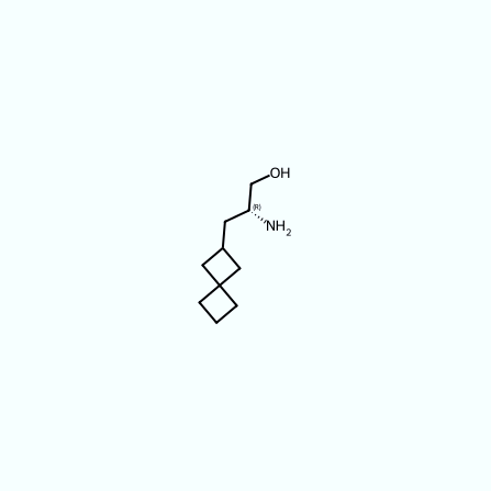 N[C@@H](CO)CC1CC2(CCC2)C1